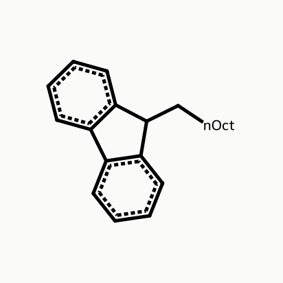 CCCCCC[CH]CCC1c2ccccc2-c2ccccc21